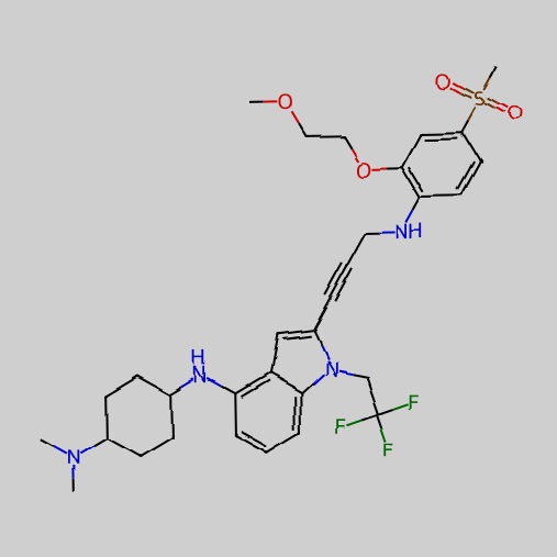 COCCOc1cc(S(C)(=O)=O)ccc1NCC#Cc1cc2c(NC3CCC(N(C)C)CC3)cccc2n1CC(F)(F)F